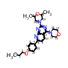 CCCOc1ccc(-c2ccc3c(N4CCOCC4)nc(N4CC(C)OC(C)C4)nc3n2)cc1